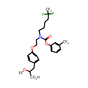 CCOC(Cc1ccc(OCCN(CCCCC(F)(F)C(F)(F)F)C(=O)Oc2cccc(C(F)(F)F)c2)cc1)C(=O)O